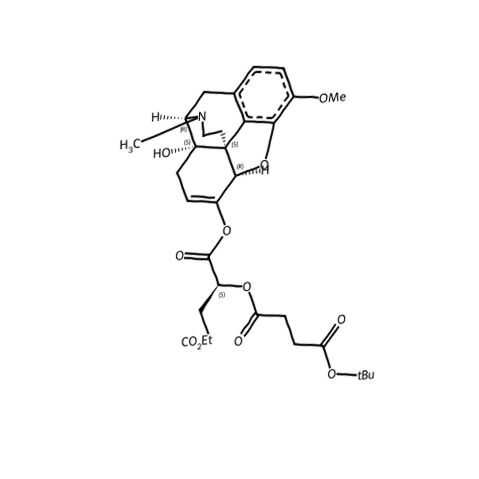 CCOC(=O)C[C@H](OC(=O)CCC(=O)OC(C)(C)C)C(=O)OC1=CC[C@@]2(O)[C@H]3Cc4ccc(OC)c5c4[C@@]2(CCN3C)[C@H]1O5